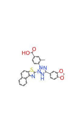 Cc1cc(C(=O)O)ccc1N1N=C(c2ccc3c(c2)OCO3)NN1c1nc2c(ccc3ccccc32)s1